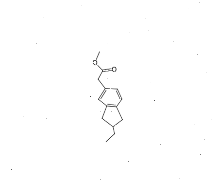 CCC1Cc2ccc(CC(=O)OC)cc2C1